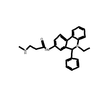 CCN1c2ccccc2-c2ccc(NC(=O)CCNC)cc2C1c1ccccc1